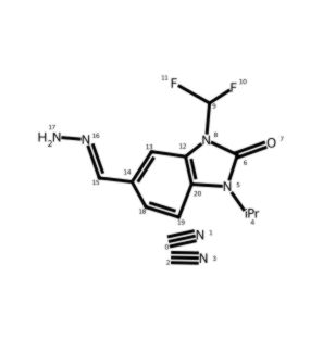 C#N.C#N.CC(C)n1c(=O)n(C(F)F)c2cc(C=NN)ccc21